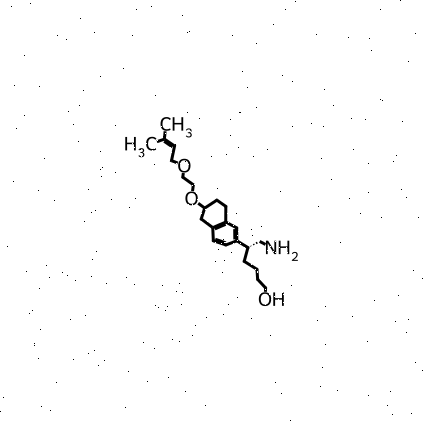 CC(C)=CCOCCOC1CCc2cc([C@H](CN)CCCCO)ccc2C1